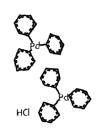 Cl.c1cc[c]([Pd]([c]2ccccc2)[c]2ccccc2)cc1.c1cc[c]([Pd]([c]2ccccc2)[c]2ccccc2)cc1